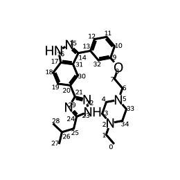 CCN1CCN(CCOc2cccc(-c3n[nH]c4ccc(-c5n[nH]c(CC(C)C)n5)cc34)c2)CC1